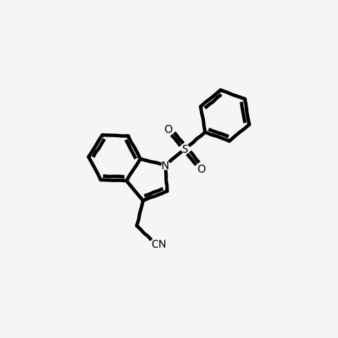 N#CCc1cn(S(=O)(=O)c2ccccc2)c2ccccc12